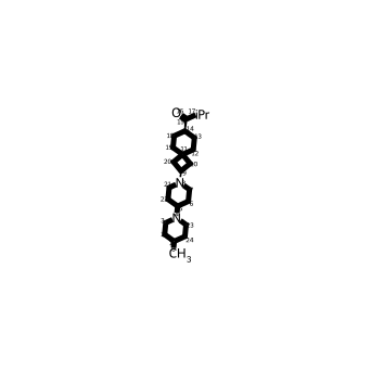 CC1CCN(C2CCN([C@H]3CC4(CC[C@H](C(=O)C(C)C)CC4)C3)CC2)CC1